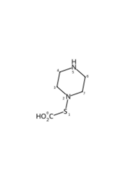 O=C(O)SN1CCNCC1